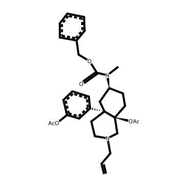 C=CCN1CC[C@@]2(c3cccc(OC(C)=O)c3)C[C@@H](N(C)C(=O)OCc3ccccc3)CC[C@]2(OC(C)=O)C1